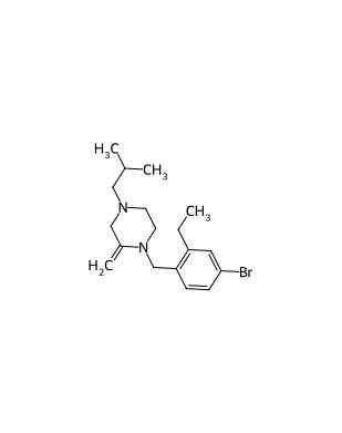 C=C1CN(CC(C)C)CCN1Cc1ccc(Br)cc1CC